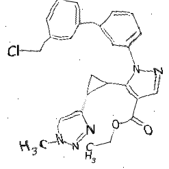 CCOC(=O)c1cnn(-c2cccc(-c3cccc(CCl)c3)c2)c1C1C[C@H]1c1cn(C)nn1